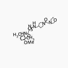 COc1ccc(C)c(NC(=O)c2cnc(NCC3CCN(C(=O)CN4CCOCC4)CC3)s2)c1C